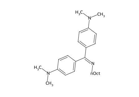 CCCCCCCCN=C(c1ccc(N(C)C)cc1)c1ccc(N(C)C)cc1